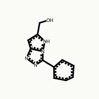 OCc1cc2nnc(-c3ccccc3)n2[nH]1